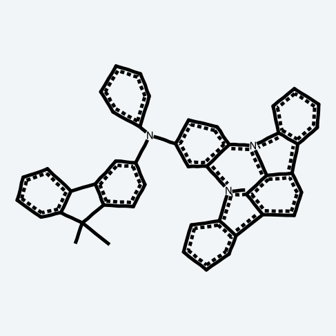 CC1(C)c2ccccc2-c2cc(N(c3ccccc3)c3ccc4c(c3)n3c5ccccc5c5ccc6c7ccccc7n4c6c53)ccc21